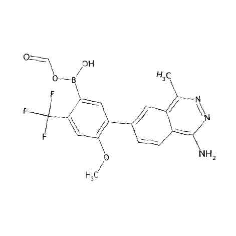 COc1cc(C(F)(F)F)c(B(O)OC=O)cc1-c1ccc2c(N)nnc(C)c2c1